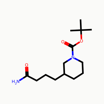 CC(C)(C)OC(=O)N1CCCC(CCCC(N)=O)C1